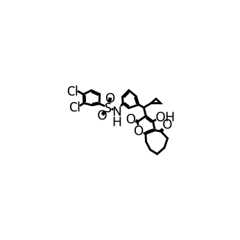 O=C1CCCCCc2oc(=O)c(C(c3cccc(NS(=O)(=O)c4ccc(Cl)c(Cl)c4)c3)C3CC3)c(O)c21